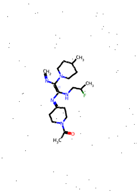 C=N/C(=C(\N=C1CCN(C(C)=O)CC1)NCC(C)F)N1CCC(C)CC1